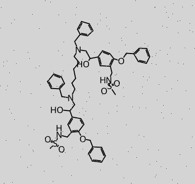 CS(=O)(=O)NCc1cc(C(O)CN(CCCCCCN(Cc2ccccc2)CC(O)c2ccc(OCc3ccccc3)c(CNS(C)(=O)=O)c2)Cc2ccccc2)ccc1OCc1ccccc1